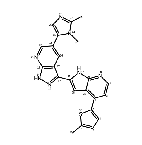 Cc1ccc(-c2ccnc3[nH]c(-c4n[nH]c5ncc(-c6cnc(C)n6C)cc45)cc23)s1